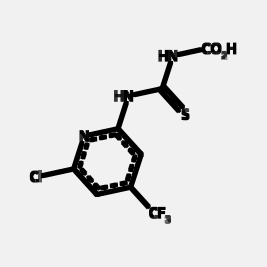 O=C(O)NC(=S)Nc1cc(C(F)(F)F)cc(Cl)n1